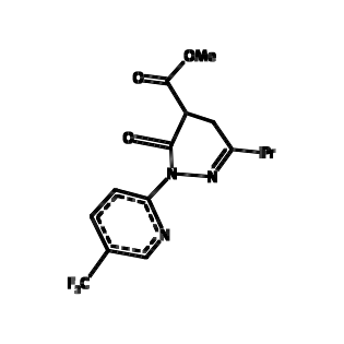 COC(=O)C1CC(C(C)C)=NN(c2ccc(C(F)(F)F)cn2)C1=O